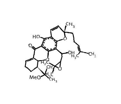 COC(C)(C)[C@H]1CCC=C2C(=O)c3c(O)c4c(c(C(O)C5OC5(C)C)c3OC21)O[C@@](C)(CCC=C(C)C)C=C4